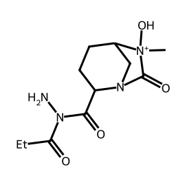 CCC(=O)N(N)C(=O)C1CCC2CN1C(=O)[N+]2(C)O